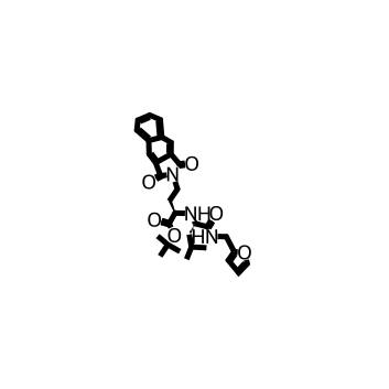 CC(C)C[C@H](N[C@H](CCN1C(=O)c2cc3ccccc3cc2C1=O)C(=O)OC(C)(C)C)C(=O)NCc1ccco1